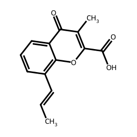 CC=Cc1cccc2c(=O)c(C)c(C(=O)O)oc12